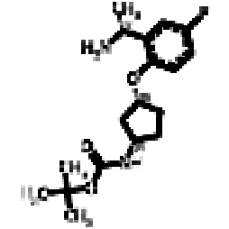 C[C@@H](N)c1cc(F)ccc1O[C@@H]1CC[C@@H](NC(=O)OC(C)(C)C)C1